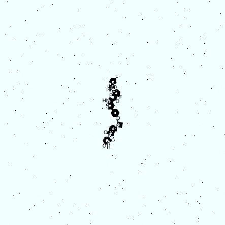 O=C1CCC(N2Cc3cc(N4CC[C@H]4COc4ccc(-c5cnc6[nH]cc(C(=O)c7c(F)ccc(NS(=O)(=O)N8CC[C@@H](F)C8)c7F)c6c5)cc4)ccc3C2=O)C(=O)N1